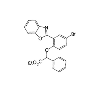 CCOC(=O)C(Oc1ccc(Br)cc1-c1nc2ccccc2o1)c1ccccc1